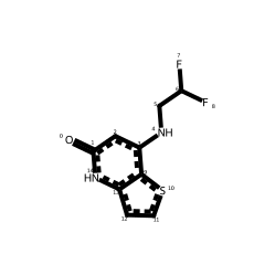 O=c1cc(NCC(F)F)c2sccc2[nH]1